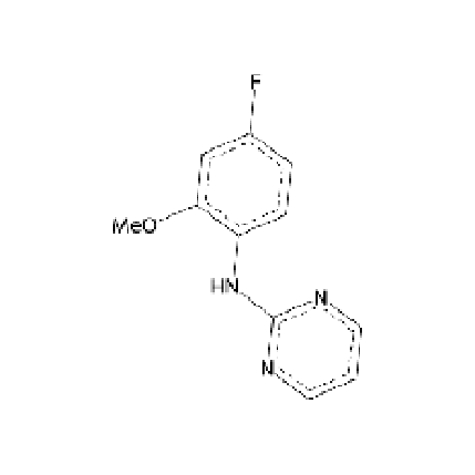 COc1cc(F)ccc1Nc1ncccn1